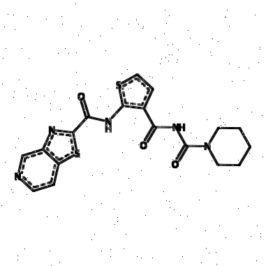 O=C(Nc1sccc1C(=O)NC(=O)N1CCCCC1)c1nc2cnccc2s1